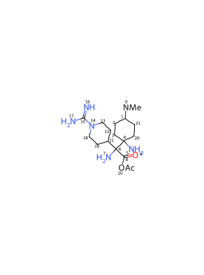 CNC1CCC(N)(C(N)(C(=O)OC(C)=O)C2CCN(C(=N)N)CC2)CC1